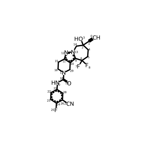 C#CC1(O)CCC(F)(F)c2c3c(nn2C1)CCN(C(=O)Nc1ccc(F)c(C#N)c1)C3